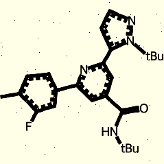 Cc1ccc(-c2cc(C(=O)NC(C)(C)C)cc(-c3ccnn3C(C)(C)C)n2)cc1F